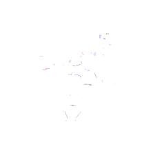 Cc1cc(OCc2c(F)ccc(F)c2F)c2nc(C)c(C(=O)NCC(C)(CF)NC(=O)O)n2c1.O=C(O)C(F)(F)F